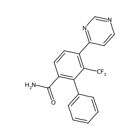 NC(=O)c1ccc(-c2ccncn2)c(C(F)(F)F)c1-c1ccccc1